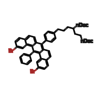 CCCCCCCCCCCCC(CCCCCCCCCC)CCCc1ccc(-c2c3ccc4ccc(Br)cc4c3c(-c3ccccc3)c3c2ccc2ccc(Br)cc23)cc1